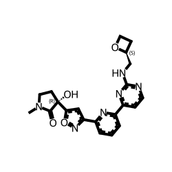 CN1CC[C@@](O)(c2cc(-c3cccc(-c4ccnc(NC[C@@H]5CCO5)n4)n3)no2)C1=O